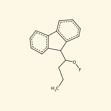 [CH2]CCC(OF)C1c2ccccc2-c2ccccc21